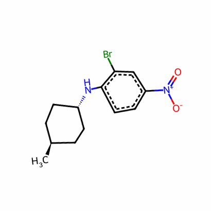 C[C@H]1CC[C@H](Nc2ccc([N+](=O)[O-])cc2Br)CC1